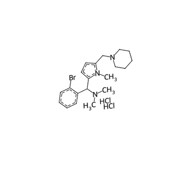 CN(C)C(c1ccccc1Br)c1ccc(CN2CCCCC2)n1C.Cl.Cl